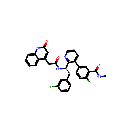 CNC(=O)c1cc(-c2cccnc2[C@H](Cc2cccc(F)c2)NC(=O)Cc2cc(=O)[nH]c3ccccc23)ccc1F